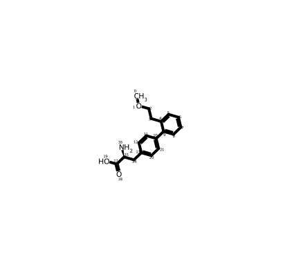 COCCc1ccccc1-c1ccc(C[C@H](N)C(=O)O)cc1